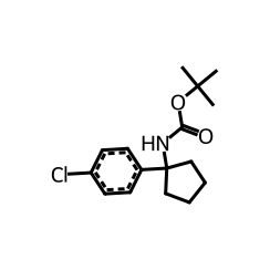 CC(C)(C)OC(=O)NC1(c2ccc(Cl)cc2)CCCC1